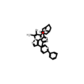 CC(=O)c1c(C2CC3CCC(C2)N3C(=O)C2=NN=C(C)C2)nc2c(-c3ccc(-c4ccccc4)nc3)cnn2c1N